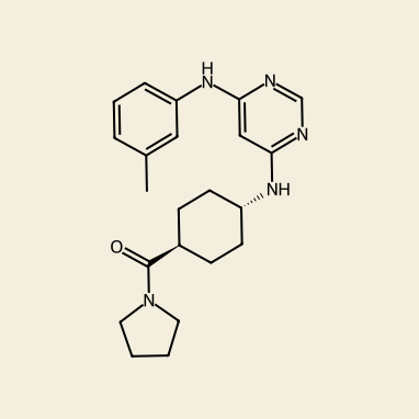 Cc1cccc(Nc2cc(N[C@H]3CC[C@H](C(=O)N4CCCC4)CC3)ncn2)c1